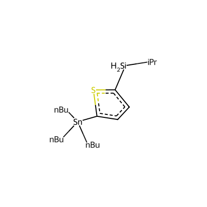 CCC[CH2][Sn]([CH2]CCC)([CH2]CCC)[c]1ccc([SiH2]C(C)C)s1